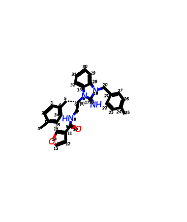 Cc1ccc(C[C@@H](CNC(=O)c2ccoc2)n2c(=N)n(Cc3ccc(C)cc3)c3ccccc32)cc1